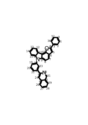 c1ccc(-c2cc3ccc4c(c5ccccc5n4-c4cccc(-c5cc6ccccc6cn5)c4)c3o2)cc1